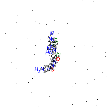 N#CCn1cc(-c2cnc3c(Nc4ccc(C(=O)N5CCN(C(=O)N6CCC(N)CC6)CC5)c(Cl)c4)nccn23)c(C(F)(F)F)n1